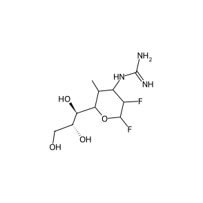 CC1C(NC(=N)N)C(F)C(F)OC1[C@H](O)[C@H](O)CO